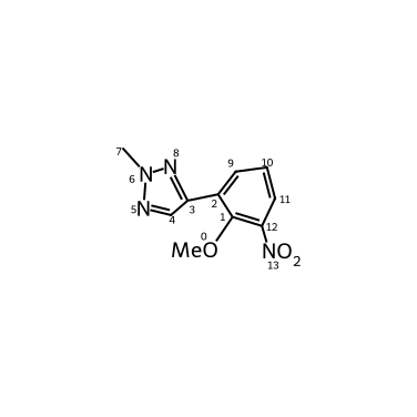 COc1c(-c2cnn(C)n2)cccc1[N+](=O)[O-]